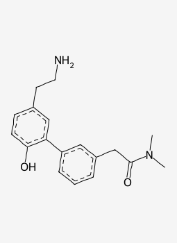 CN(C)C(=O)Cc1cccc(-c2cc(CCN)ccc2O)c1